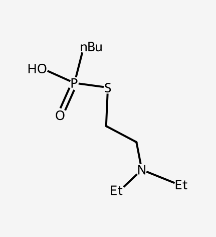 CCCCP(=O)(O)SCCN(CC)CC